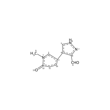 Cn1cc(-c2c[nH]nc2C=O)ccc1=O